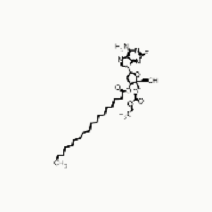 C#CC1(COC(=O)OCC)OC(n2cnc3c(N)nc(F)nc32)CC1OC(=O)CCCCCCCCCCCCCCCCC